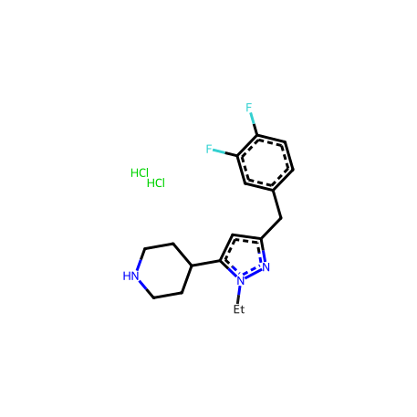 CCn1nc(Cc2ccc(F)c(F)c2)cc1C1CCNCC1.Cl.Cl